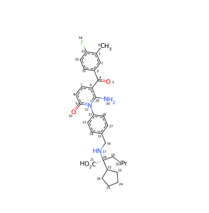 Cc1cc(C(=O)c2ccc(=O)n(-c3ccc(CN[C@](CC(C)C)(C(=O)O)C4CCCC4)cc3)c2N)ccc1F